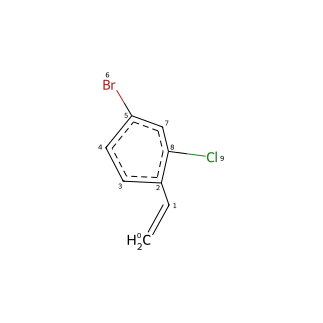 C=Cc1ccc(Br)cc1Cl